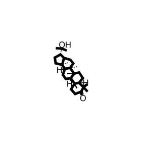 CC(C)(O)[C@H]1CC[C@@]2(C)C1CC[C@]1(C)[C@@H]2CC[C@@H]2[C@@]3(C)CCC(=O)C(C)(C)[C@@H]3CC[C@]21C